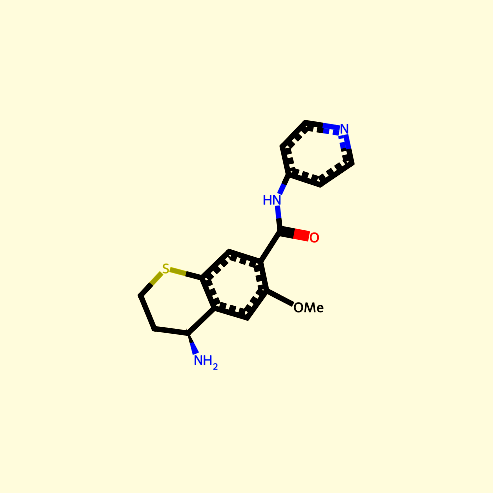 COc1cc2c(cc1C(=O)Nc1ccncc1)SCC[C@@H]2N